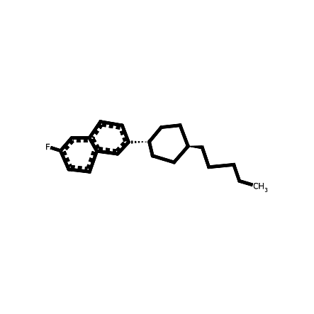 CCCCC[C@H]1CC[C@H](c2ccc3cc(F)ccc3c2)CC1